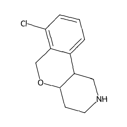 Clc1cccc2c1COC1CCNCC21